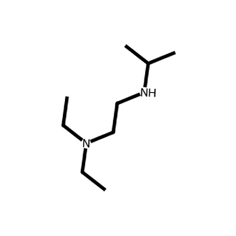 CCN(CC)CCNC(C)C